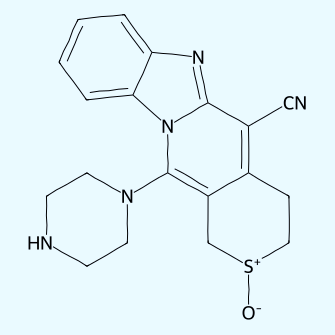 N#Cc1c2c(c(N3CCNCC3)n3c1nc1ccccc13)C[S+]([O-])CC2